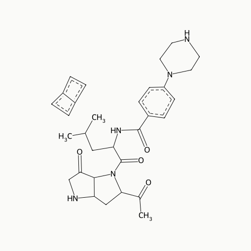 CC(=O)C1CC2NCC(=O)C2N1C(=O)C(CC(C)C)NC(=O)c1ccc(N2CCNCC2)cc1.c1cc2ccc1-2